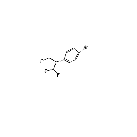 FCC(c1ccc(Br)cc1)C(F)F